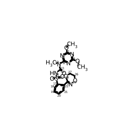 COc1nc(OC)nc(N(C)C(=O)NS(=O)(=O)c2ccccc2C2=NOCCO2)n1